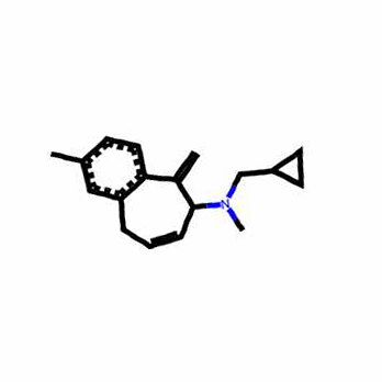 C=C1c2ccc(C)cc2CC=CC1N(C)CC1CC1